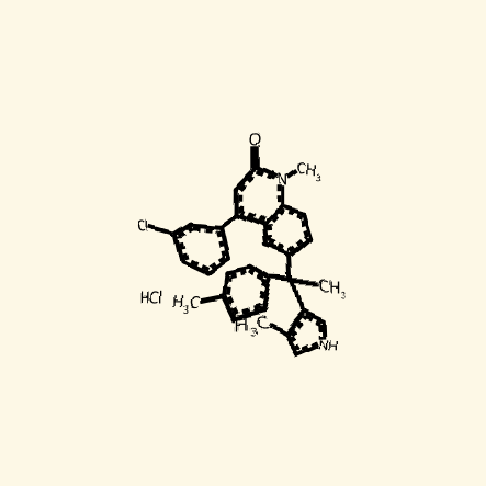 Cc1ccc(C(C)(c2ccc3c(c2)c(-c2cccc(Cl)c2)cc(=O)n3C)c2c[nH]cc2C)cc1.Cl